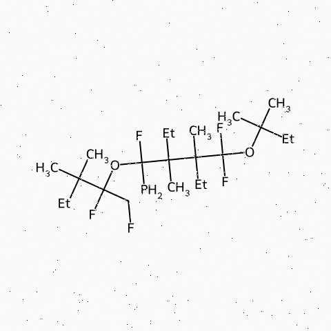 CCC(C)(C)OC(F)(F)C(C)(CC)C(C)(CC)C(F)(P)OC(F)(CF)C(C)(C)CC